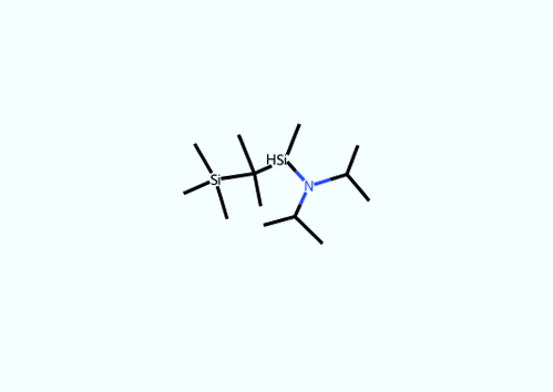 CC(C)N(C(C)C)[SiH](C)C(C)(C)[Si](C)(C)C